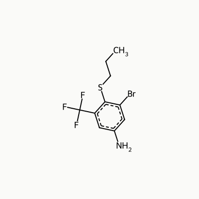 CCCSc1c(Br)cc(N)cc1C(F)(F)F